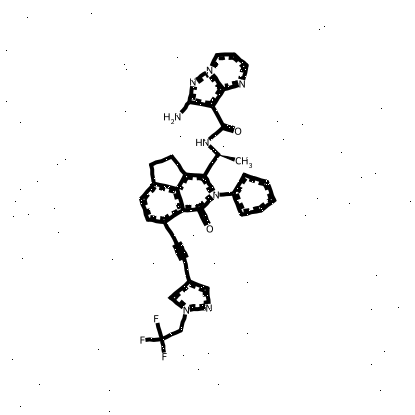 C[C@H](NC(=O)c1c(N)nn2cccnc12)c1c2c3c(ccc(C#Cc4cnn(CC(F)(F)F)c4)c3c(=O)n1-c1ccccc1)CC2